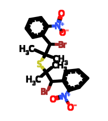 CC(C)(SC(C)(C)C(Br)c1ccccc1[N+](=O)[O-])C(Br)c1ccccc1[N+](=O)[O-]